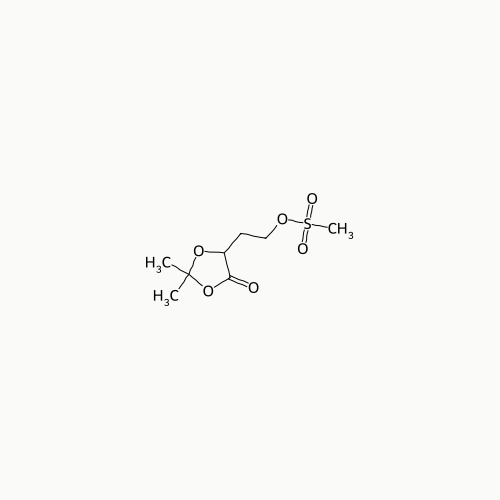 CC1(C)OC(=O)C(CCOS(C)(=O)=O)O1